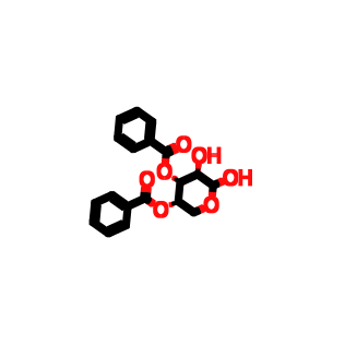 O=C(O[C@H]1[C@@H](OC(=O)c2ccccc2)COC(O)[C@@H]1O)c1ccccc1